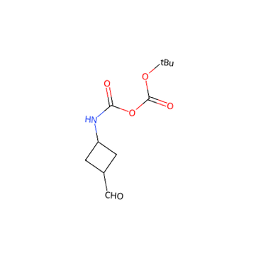 CC(C)(C)OC(=O)OC(=O)NC1CC(C=O)C1